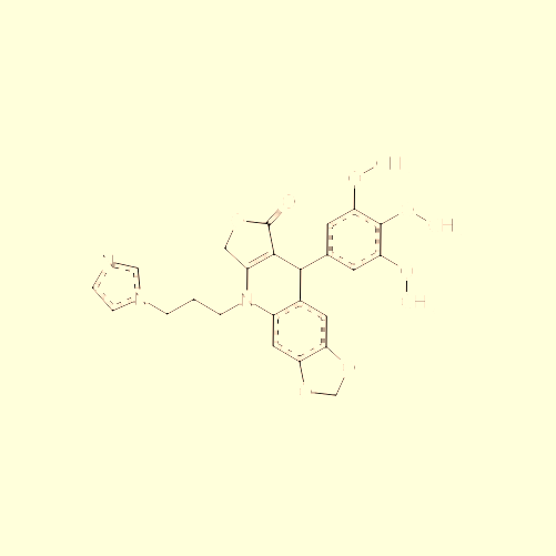 COc1cc(C2C3=C(COC3=O)N(CCCn3ccnc3)c3cc4c(cc32)OCO4)cc(OC)c1OC